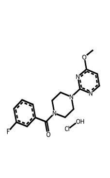 COc1ccnc(N2CCN(C(=O)c3cccc(F)c3)CC2)n1.OCl